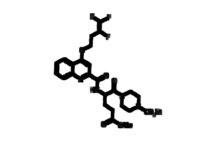 CCOC(=O)N1CCN(C(=O)C(CCC(=O)OC)NC(=O)c2cc(OCCC(F)=C(F)F)c3ccccc3n2)CC1